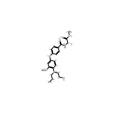 COc1cc(Oc2ccc(C(=O)N[C@@H](C)C(=O)OC(C)(C)C)cc2)ccc1N(CCCl)CCCl